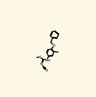 CS/C(=N/C#N)Nc1ccc(OCc2ccccc2)c(C)c1